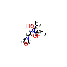 CC(O)N(CCCN1CCOCC1)C(C)O